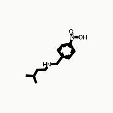 CC(C)CCNCc1ccc([N+](=O)O)cc1